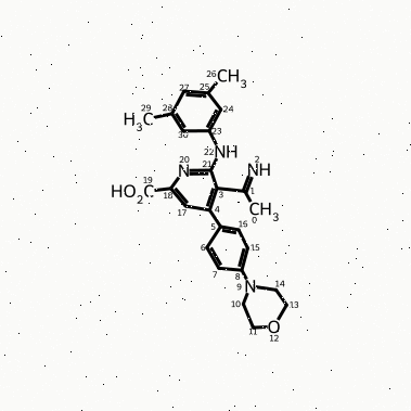 CC(=N)c1c(-c2ccc(N3CCOCC3)cc2)cc(C(=O)O)nc1Nc1cc(C)cc(C)c1